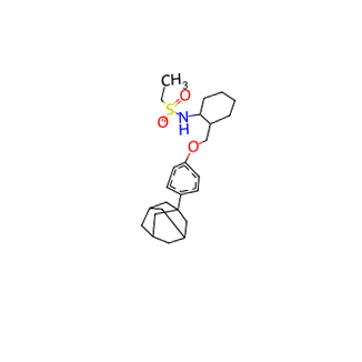 CCS(=O)(=O)NC1CCCCC1COc1ccc(C23CC4CC(CC(C4)C2)C3)cc1